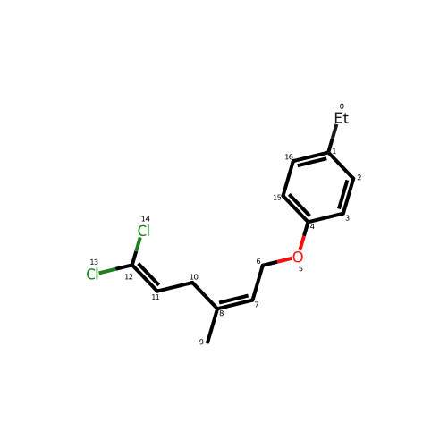 CCc1ccc(OCC=C(C)CC=C(Cl)Cl)cc1